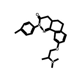 Cc1ccc(N2N=C3c4cc(OCC(C)N(C)C)ccc4CCC3CC2=O)cc1